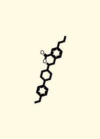 CCCc1ccc2c(c1)C(=O)OC(C1CCC(c3ccc(CC)cc3)CC1)C2